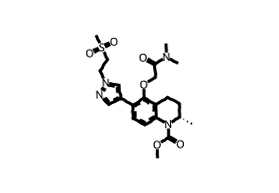 COC(=O)N1c2ccc(-c3cnn(CCS(C)(=O)=O)c3)c(OCC(=O)N(C)C)c2CC[C@@H]1C